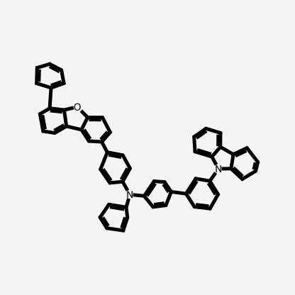 c1ccc(-c2cccc3c2oc2ccc(-c4ccc(N(c5ccccc5)c5ccc(-c6cccc(-n7c8ccccc8c8ccccc87)c6)cc5)cc4)cc23)cc1